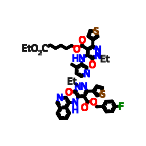 CCOC(=O)CCCCCOC(=O)c1c(-c2ccsc2)nn(CC)c(=O)c1Nc1cnccc1C.CCn1nc(-c2ccsc2)c(C(=O)OCc2ccc(F)cc2)c(Nc2cncc3ccccc23)c1=O